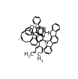 C=C/C=C(\C=C/C)c1cc(-c2ccccc2)ccc1-n1c2ccccc2c2ccc3c4ccccc4n(-c4nc(-c5ccccc5)nc(-c5cccc6c5N(c5ccccc5)C(=C)/C=C\C=C/C6)n4)c3c21